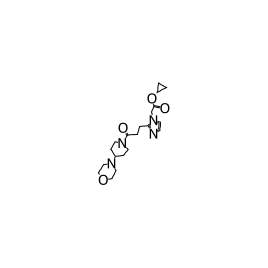 O=C(Cn1ccnc1CCC(=O)N1CCC(N2CCOCC2)CC1)OC1CC1